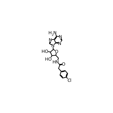 Nc1ncnc2c1ncn2C1OC(CNC(=O)Cc2ccc(Cl)cc2)C(O)C1O